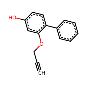 C#CCOc1cc(O)ccc1-c1ccccc1